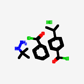 CC(C)(C)NN.CC(C)c1ccc(C(=O)Cl)cc1.Cl.O=C(Cl)c1ccccc1